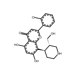 O=c1cc(-c2ccccc2Cl)oc2c([C@@H]3CCNC[C@H]3CO)c(O)cc(O)c12